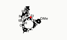 CC[C@@H]1[C@@H]2CN(C(=O)[C@H](C(C)(C)C)NC(=O)O[C@@H]3C[C@H](C)C[C@H]3CCCCC(F)(F)c3nc4ccc(OC)cc4nc3O2)[C@@H]1C(=O)N[C@]1(C(=O)NS(=O)(=O)C2(C)CC2)C[C@H]1C(F)F